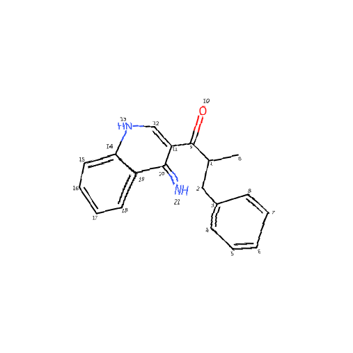 CC(Cc1ccccc1)C(=O)c1c[nH]c2ccccc2c1=N